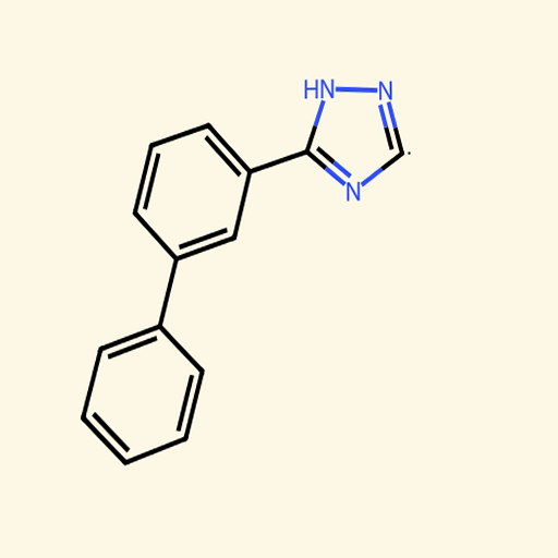 [c]1n[nH]c(-c2cccc(-c3ccccc3)c2)n1